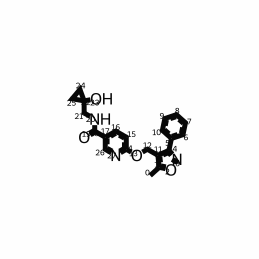 Cc1onc(-c2ccccc2)c1COc1ccc(C(=O)NCC2(O)CC2)cn1